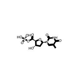 Cc1cn([C@H]2C[C@H](O)[C@@H](C(=O)OP(=O)(O)O)O2)c(=O)[nH]c1=O